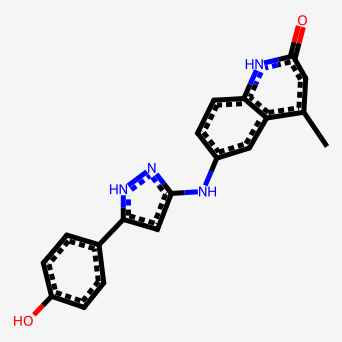 Cc1cc(=O)[nH]c2ccc(Nc3cc(-c4ccc(O)cc4)[nH]n3)cc12